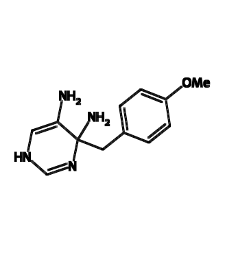 COc1ccc(CC2(N)N=CNC=C2N)cc1